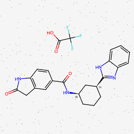 O=C(O)C(F)(F)F.O=C1Cc2cc(C(=O)N[C@@H]3CCC[C@H](c4nc5ccccc5[nH]4)C3)ccc2N1